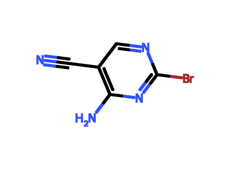 N#Cc1cnc(Br)nc1N